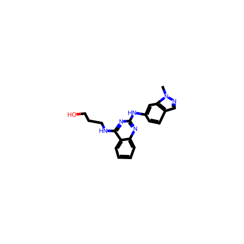 Cn1ncc2ccc(Nc3nc(NCCCO)c4ccccc4n3)cc21